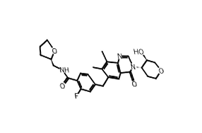 Cc1c(Cc2ccc(C(=O)NC[C@H]3CCCO3)c(F)c2)cc2c(=O)n([C@H]3CCOC[C@@H]3O)cnc2c1C